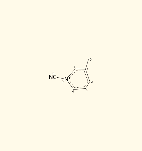 Cc1ccc[n+](C#N)c1